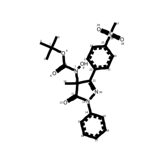 CC(C)(C)OC(=O)N(O)C1(C)C(=O)N(c2ccccc2)N=C1c1ccc(S(C)(=O)=O)cc1